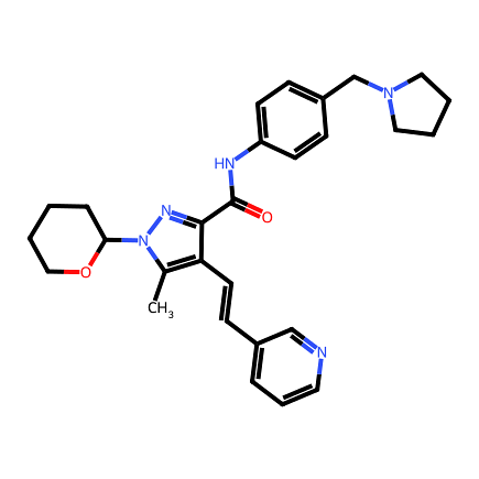 Cc1c(/C=C/c2cccnc2)c(C(=O)Nc2ccc(CN3CCCC3)cc2)nn1C1CCCCO1